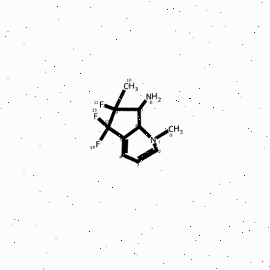 CN1C=CC=C2C1C(N)C(C)(F)C2(F)F